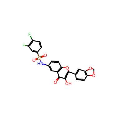 O=c1c(O)c(-c2ccc3c(c2)OCO3)oc2ccc(NS(=O)(=O)c3ccc(F)c(F)c3)cc12